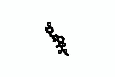 CCOC(=O)c1oc2c(c1C)-c1nn(Cc3ccc(Cl)nc3)cc1CC2